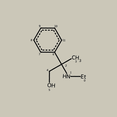 CCNC(C)(CO)c1ccccc1